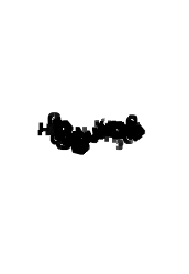 CC1(C(=O)N2CCC(n3cc(Cc4cnc5c6c(cccc46)C(=O)N5C4CCC(=O)NC4=O)cn3)CC2)CCC1